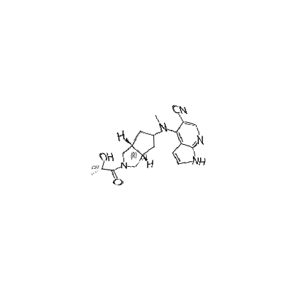 C[C@H](O)C(=O)N1C[C@H]2CC(N(C)c3c(C#N)cnc4[nH]ccc34)C[C@H]2C1